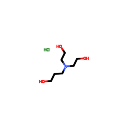 Cl.OCCCN(CCO)CCO